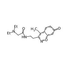 CCN(CC)CC(=O)NCCc1noc2cc(=O)ccc-2c1C